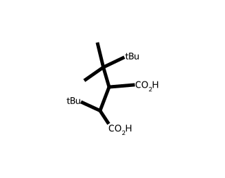 CC(C)(C)C(C(=O)O)C(C(=O)O)C(C)(C)C(C)(C)C